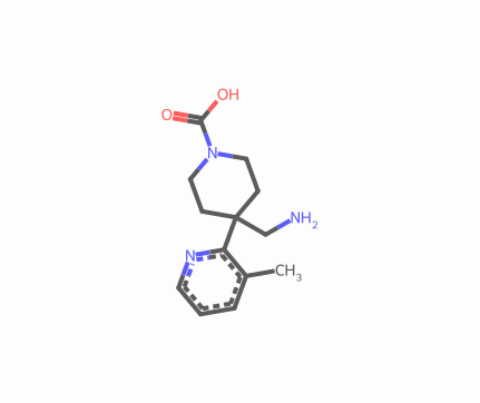 Cc1cccnc1C1(CN)CCN(C(=O)O)CC1